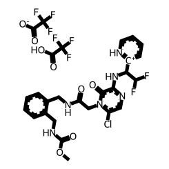 COC(=O)NCc1ccccc1CNC(=O)Cn1c(Cl)cnc(NC([c+]2cccc[nH]2)C(F)F)c1=O.O=C(O)C(F)(F)F.O=C([O-])C(F)(F)F